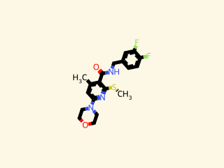 CSc1nc(N2CCOCC2)cc(C)c1C(=O)NCc1ccc(F)c(F)c1